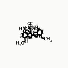 CCc1ccc(C)c2c1C=C(C)[CH]2[Zr+2]([CH3])([CH3])(=[SiH2])[CH]1C(C)=Cc2c(CC)ccc(C)c21.[Cl-].[Cl-]